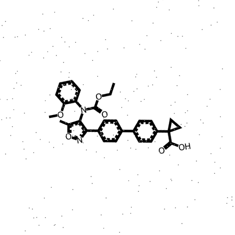 CCOC(=O)N(c1ccccc1OC)c1c(-c2ccc(-c3ccc(C4(C(=O)O)CC4)cc3)cc2)noc1C